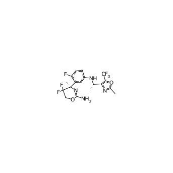 Cc1nc([C@H](C)Nc2ccc(F)c([C@@]3(C)N=C(N)OCC3(F)F)c2)c(C(F)(F)F)o1